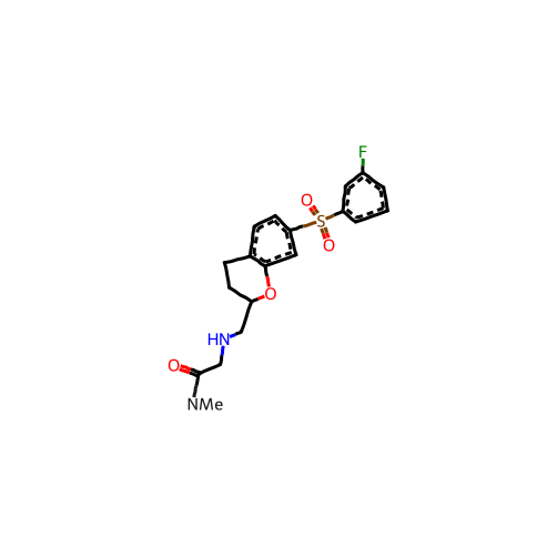 CNC(=O)CNCC1CCc2ccc(S(=O)(=O)c3cccc(F)c3)cc2O1